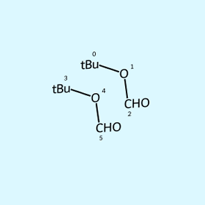 CC(C)(C)OC=O.CC(C)(C)OC=O